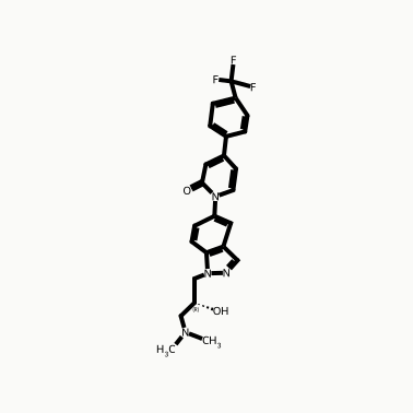 CN(C)C[C@@H](O)Cn1ncc2cc(-n3ccc(-c4ccc(C(F)(F)F)cc4)cc3=O)ccc21